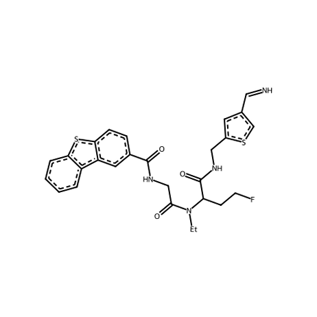 CCN(C(=O)CNC(=O)c1ccc2sc3ccccc3c2c1)C(CCF)C(=O)NCc1cc(C=N)cs1